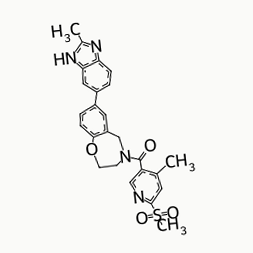 Cc1nc2ccc(-c3ccc4c(c3)CN(C(=O)c3cnc(S(C)(=O)=O)cc3C)CCO4)cc2[nH]1